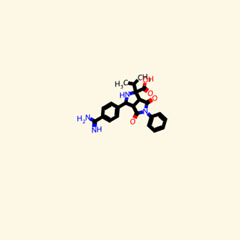 CC(C)C1(C(=O)O)NC(c2ccc(C(=N)N)cc2)C2C(=O)N(c3ccccc3)C(=O)C21